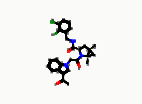 CC(=O)c1cn(CC(=O)N2[C@@H]3C[C@@H]3C[C@H]2C(=O)NCc2cccc(Cl)c2F)c2ccccc12